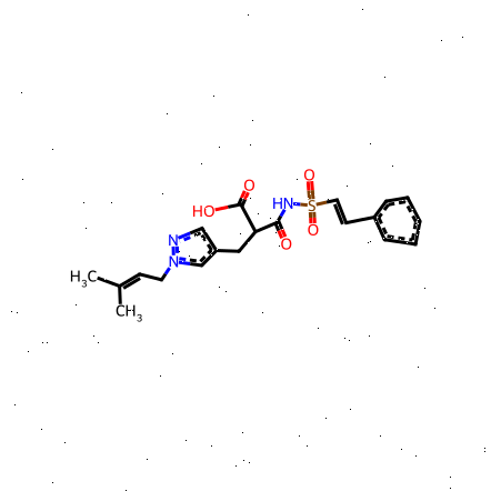 CC(C)=CCn1cc(CC(C(=O)O)C(=O)NS(=O)(=O)C=Cc2ccccc2)cn1